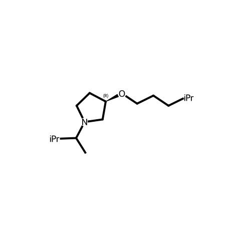 CC(C)CCCO[C@@H]1CCN(C(C)C(C)C)C1